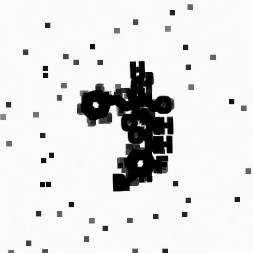 CCC1(CCc2ccccc2)NC(=O)N(NC(=O)Nc2ccc(Br)cc2F)C1=O